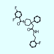 O=C(CC1(c2ccccc2)CCN(C(=O)c2ccc(F)cc2F)CC1)NCCc1ccccc1F